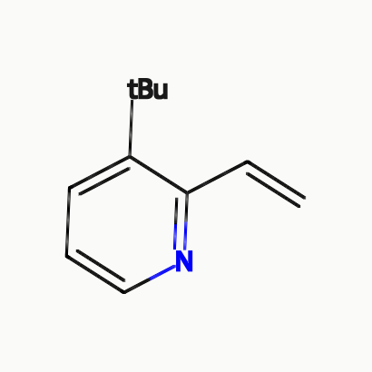 C=Cc1ncccc1C(C)(C)C